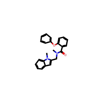 CN(Cc1cc2ccccc2n1C)C(=O)c1ccccc1Oc1ccccc1